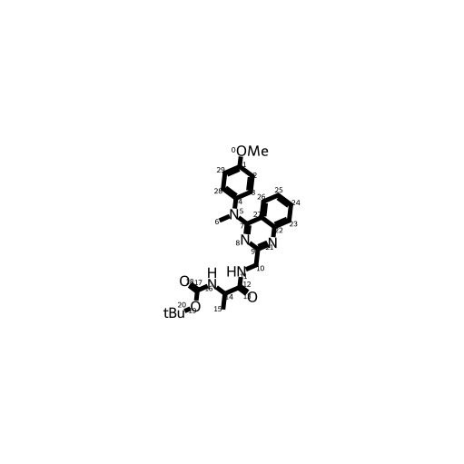 COc1ccc(N(C)c2nc(CNC(=O)C(C)NC(=O)OC(C)(C)C)nc3ccccc23)cc1